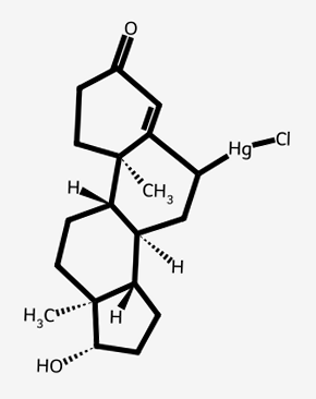 C[C@]12CC[C@H]3[C@@H](C[CH]([Hg][Cl])C4=CC(=O)CC[C@@]43C)[C@@H]1CC[C@@H]2O